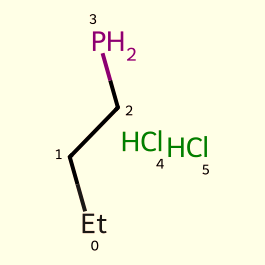 CCCCP.Cl.Cl